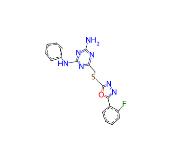 Nc1nc(CSc2nnc(-c3ccccc3F)o2)nc(Nc2ccccc2)n1